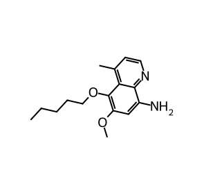 CCCCCOc1c(OC)cc(N)c2nccc(C)c12